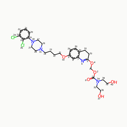 O=C(OCOC1=Nc2cc(OCCCCN3CCN(c4cccc(Cl)c4Cl)CC3)ccc2CC1)N(CCO)CCO